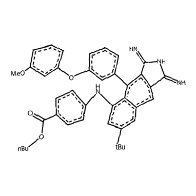 CCCCOC(=O)c1ccc(Nc2cc(C(C)(C)C)cc3cc4c(c(-c5cccc(Oc6cccc(OC)c6)c5)c23)C(=N)NC4=N)cc1